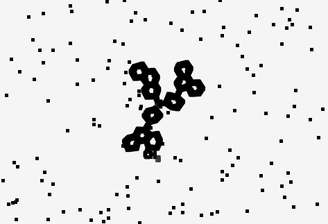 CC1CC=Cc2c(-c3ccc(N(c4cccc(-c5cc6ccccc6c6ccccc56)c4)c4ccc5c(ccc6ccccc65)c4)cc3)cc3ccccc3c21